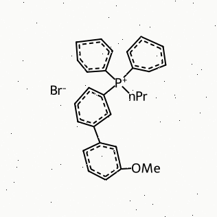 CCC[P+](c1ccccc1)(c1ccccc1)c1cccc(-c2cccc(OC)c2)c1.[Br-]